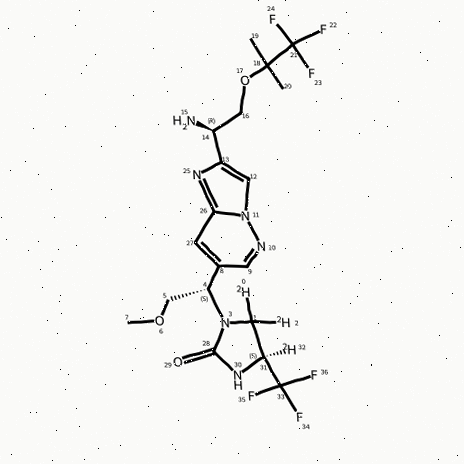 [2H]C1([2H])N([C@H](COC)c2cnn3cc([C@@H](N)COC(C)(C)C(F)(F)F)nc3c2)C(=O)N[C@]1([2H])C(F)(F)F